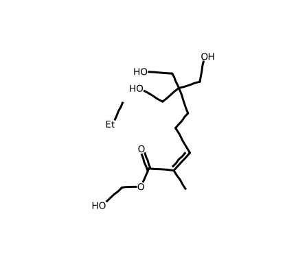 CC(=CCCC(CO)(CO)CO)C(=O)OCO.CCC